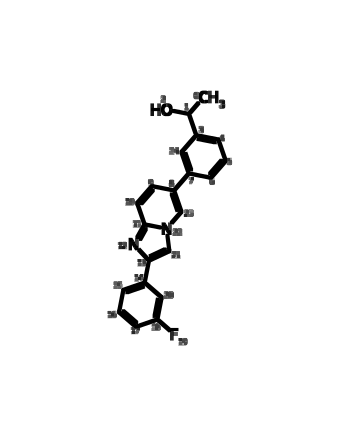 CC(O)c1cccc(-c2ccc3nc(-c4cccc(F)c4)cn3c2)c1